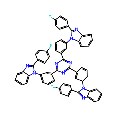 Fc1ccc(-c2nc3ccccc3n2-c2cccc(-c3nc(C4=CC(n5c(-c6ccc(F)cc6)nc6ccccc65)CC=C4)nc(-c4cccc(-n5c(-c6ccc(F)cc6)nc6ccccc65)c4)n3)c2)cc1